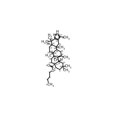 CCCCOC(=O)[C@]12CCC(C)(C)C[C@H]1C1=C(C)CC3[C@@]4(C)Cc5c(n[nH]c5C)C(C)(C)[C@@H]4CC[C@@]3(C)[C@]1(C)CC2